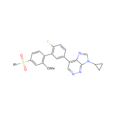 COc1cc(S(=O)(=O)C(C)C)ccc1-c1cc(-c2cnnc3c2ncn3C2CC2)ccc1F